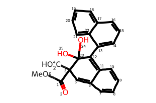 COC(=O)C1(C(=O)O)C=c2ccccc2=C(c2cccc3ccccc23)C1(O)O